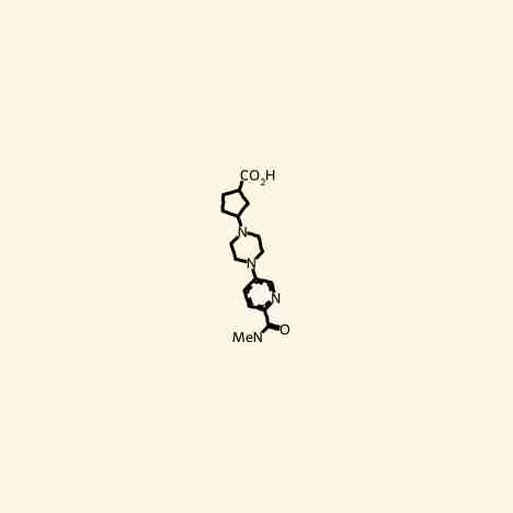 CNC(=O)c1ccc(N2CCN(C3CCC(C(=O)O)C3)CC2)cn1